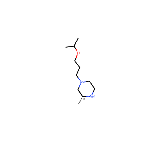 CC(C)OCCCN1CCN[C@H](C)C1